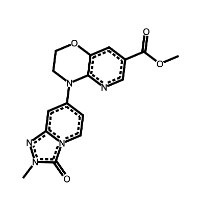 COC(=O)c1cnc2c(c1)OCCN2c1ccn2c(=O)n(C)nc2c1